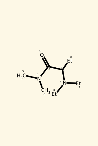 CCC(C(=O)N(C)C)N(CC)CC